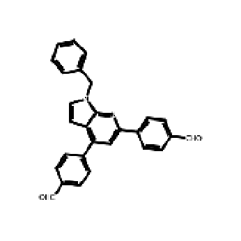 O=Cc1ccc(-c2cc(-c3ccc(C=O)cc3)c3ccn(Cc4ccccc4)c3n2)cc1